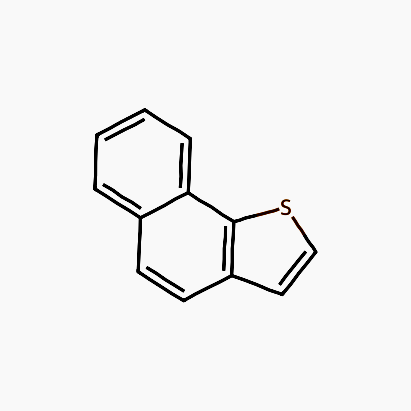 c1ccc2c(c1)ccc1ccsc12